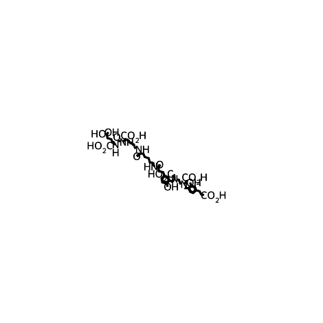 O=C(O)CCc1ccc(CN(CCN(CC(=O)O)Cc2cc(CCC(=O)NCCCCCC(=O)NCCCCC(NC(=O)NC(CCC(O)O)C(=O)O)C(=O)O)ccc2O)CC(=O)O)c(O)c1